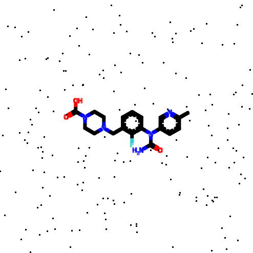 Cc1ccc(N(C(N)=O)c2cccc(CN3CCN(C(=O)O)CC3)c2F)cn1